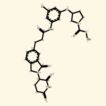 CC(C)(C)OC(=O)N1CCC(Oc2cc(Cl)cc(NC(=O)CCc3ccc4c(c3)C(=O)N(C3CCC(=O)NC3=O)C4)c2)C1